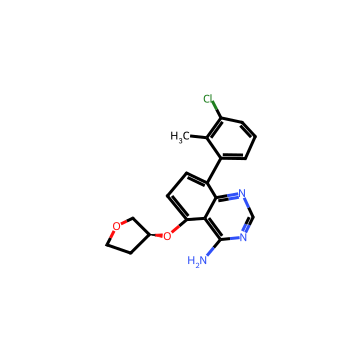 Cc1c(Cl)cccc1-c1ccc(O[C@H]2CCOC2)c2c(N)ncnc12